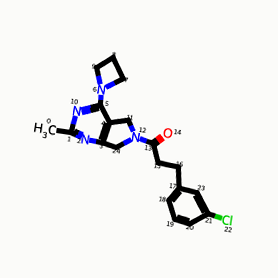 Cc1nc2c(c(N3CCC3)n1)CN(C(=O)CCc1cccc(Cl)c1)C2